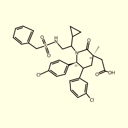 C[C@]1(CC(=O)O)CC(c2cccc(Cl)c2)[C@@H](c2ccc(Cl)cc2)N(C(CNS(=O)(=O)Cc2ccccc2)C2CC2)C1=O